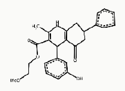 COCCOC(=O)C1=C(C)NC2=C(C(=O)CC(c3ccccc3)C2)C1c1cccc(O)c1